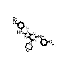 CCOc1cccc(Nc2nc(N3CCOCC3)c3nc(Nc4cccc(OCC)c4)[nH]c3n2)c1